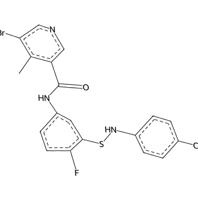 Cc1c(Br)cncc1C(=O)Nc1ccc(F)c(SNc2ccc(Cl)cc2)c1